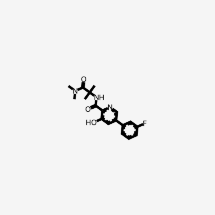 CN(C)C(=O)C(C)(C)NC(=O)c1ncc(-c2cccc(F)c2)cc1O